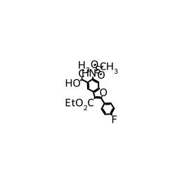 CCOC(=O)c1c(-c2ccc(F)cc2)oc2cc(NS(C)(=O)=O)c([C@H](C)O)cc12